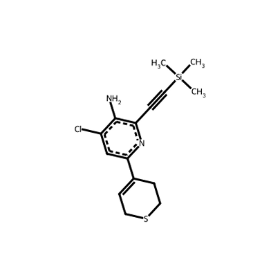 C[Si](C)(C)C#Cc1nc(C2=CCSCC2)cc(Cl)c1N